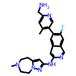 Cc1cc(CN)ncc1-c1cc2cc(Nc3cc4n(n3)CCN(C)CC4)ncc2cc1F